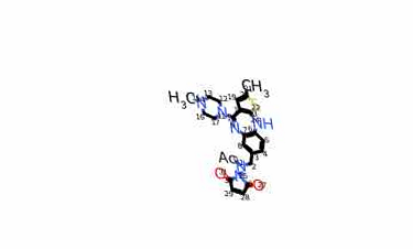 CC(=O)N(Cc1ccc2c(c1)N=C(N1CCN(C)CC1)c1cc(C)sc1N2)N1C(=O)C=CC1=O